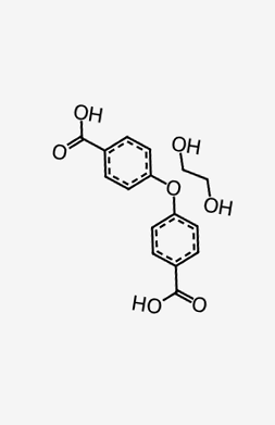 O=C(O)c1ccc(Oc2ccc(C(=O)O)cc2)cc1.OCCO